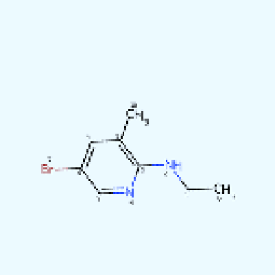 CCNc1ncc(Br)cc1C